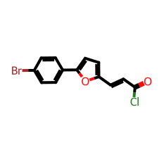 O=C(Cl)/C=C/c1ccc(-c2ccc(Br)cc2)o1